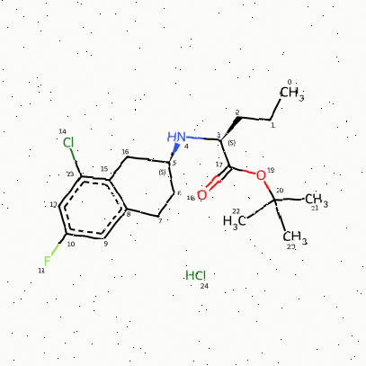 CCC[C@H](N[C@H]1CCc2cc(F)cc(Cl)c2C1)C(=O)OC(C)(C)C.Cl